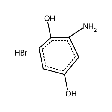 Br.Nc1cc(O)ccc1O